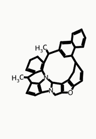 CC1C2=CC(C3C=Cc4oc5c(c4C3)C3N(C5)C4=C5C(C=C4)C(C)C4=CCCC1=C4N53)C1C=CC=CC1=C2